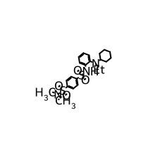 CCN(c1ccccc1NS(=O)(=O)c1ccc(S(=O)(=O)N(C)C)cc1)C1CCCCC1